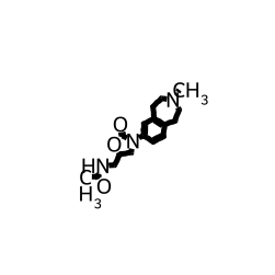 CC(=O)NCC1CN(c2ccc3c(c2)CCN(C)CC3)C(=O)O1